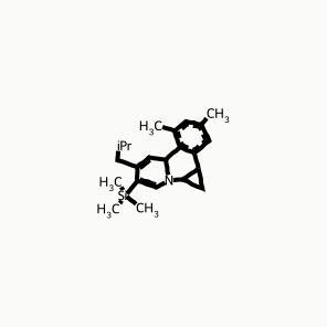 Cc1cc(C)c2c(c1)C1CC1N1C=C([Si](C)(C)C)C(CC(C)C)=CC21